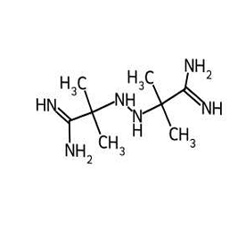 CC(C)(NNC(C)(C)C(=N)N)C(=N)N